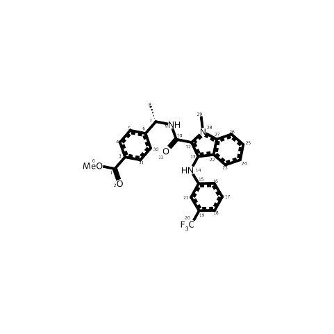 COC(=O)c1ccc([C@H](C)NC(=O)c2c(Nc3cccc(C(F)(F)F)c3)c3ccccc3n2C)cc1